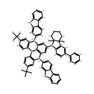 CC(C)(C)c1ccc2c(c1)N(c1ccc3c(c1)sc1ccccc13)c1cc(N3c4ccc(-c5ccccc5)cc4C4(C)CCCCC34C)cc3c1B2c1ccc(C(C)(C)C)cc1N3c1ccc2c(c1)sc1ccccc12